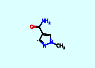 Cn1cc(C(N)=O)[c]n1